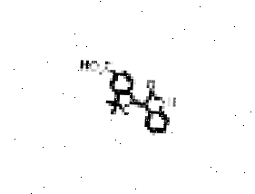 CC1(C)OC(=C2C(=O)Nc3ccccc32)c2ccc(C(=O)O)cc21